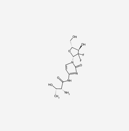 C[C@H](O)[C@@H](N)C(=O)Nc1ccn([C@@H]2O[C@H](CO)[C@@H](O)C2(F)F)c(=O)n1